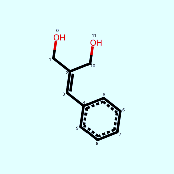 OCC(=Cc1ccccc1)CO